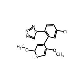 COC1=CNC(OC)C=C1c1cc(Cl)ccc1-n1cnnn1